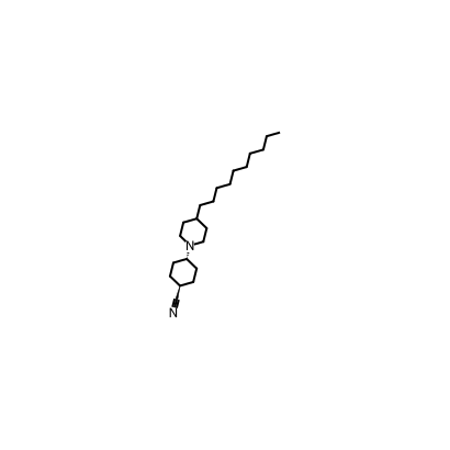 CCCCCCCCCCC1CCN([C@H]2CC[C@H](C#N)CC2)CC1